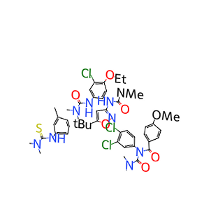 CCOc1ccc(NC(=O)N(C)C)cc1Cl.CNC(=O)Nc1cc(C(C)(C)C)on1.COc1ccc(C(=O)N(C(=O)N(C)C)c2ccc(Cl)c(Cl)c2)cc1.Cc1cccc(NC(=S)N(C)C)c1